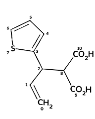 C=CC(c1cccs1)C(C(=O)O)C(=O)O